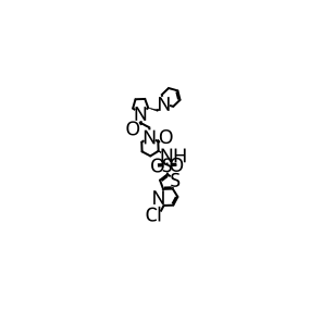 O=C1[C@@H](NS(=O)(=O)c2cc3nc(Cl)ccc3s2)CCCN1CC(=O)N1CCC[C@H]1CN1CC=CCC1